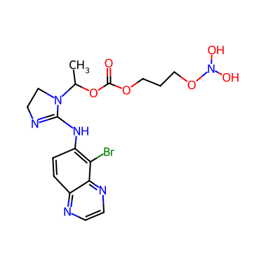 CC(OC(=O)OCCCON(O)O)N1CCN=C1Nc1ccc2nccnc2c1Br